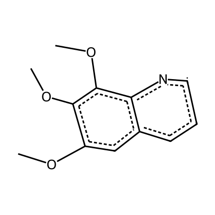 COc1cc2cc[c]nc2c(OC)c1OC